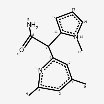 Cc1cc(C)nc(C(C(N)=O)c2cccn2C)c1